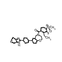 CCc1c(C(=O)N2CCOc3ccc(-c4ccc(-c5nc6ccncc6[nH]5)cc4)cc3C2)ccc(S(C)(=O)=O)c1F